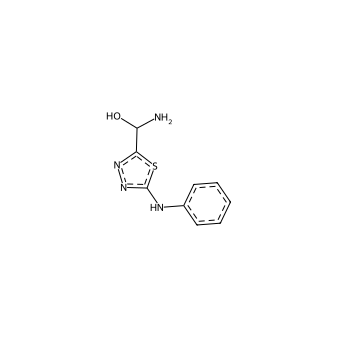 NC(O)c1nnc(Nc2ccccc2)s1